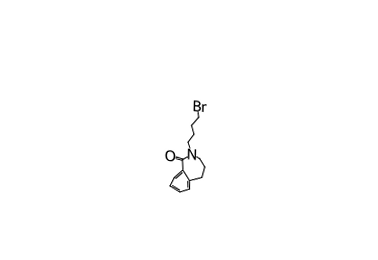 O=C1c2ccccc2CCCN1CCCCBr